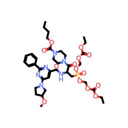 CCCCOC(=O)N1CCN(C(=O)C(CP(=O)(OCOC(=O)OCC)OCOC(=O)OCC)NC(=O)c2cc(N3CCC(OC)C3)nc(-c3ccccc3)n2)CC1